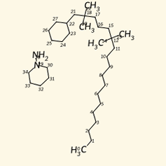 CCCCCCCCCCCCC(C)(C)CCCC(C)(C)CC1CCCCC1.NN1CCCCC1